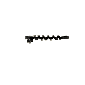 COCCOCCCOCCCOCC(C)N